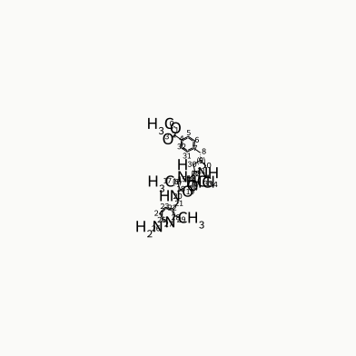 COC(=O)c1ccc(C[C@@H]2CN[C@@H](C(=O)N[C@@H](C)C(=O)NCc3ccc(N)nc3C)C2)cc1.Cl.Cl